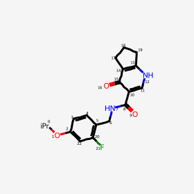 CC(C)Oc1ccc(CNC(=O)c2c[nH]c3c(c2=O)CCC3)c(F)c1